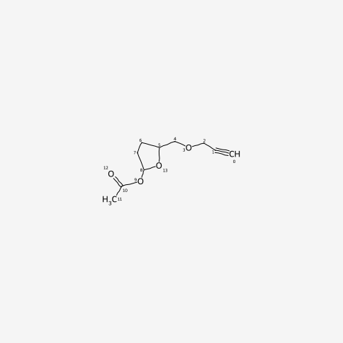 C#CCOCC1CCC(OC(C)=O)O1